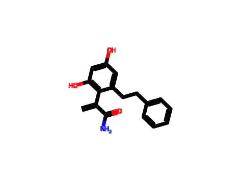 C=C(C(N)=O)c1c(O)cc(O)cc1CCc1ccccc1